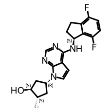 [CH2][C@H]1C[C@@H](n2ccc3c(N[C@H]4CCc5c(F)ccc(F)c54)ncnc32)C[C@@H]1O